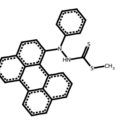 CSC(=S)NN(c1ccccc1)c1ccc2cccc3c4cccc5cccc(c1c23)c54